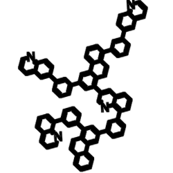 c1cc(-c2ccc3ncccc3c2)cc(-c2cc(-c3cnc4c(-c5cccc(-c6cc(-c7cccc(-c8cccc9cccnc89)c7)c7ccc8ccccc8c7c6)c5)cccc4c3)c3ccc4c(-c5cccc(-c6ccc7ncccc7c6)c5)cccc4c3c2)c1